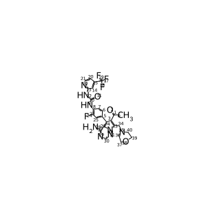 CC(=O)c1c(-c2ccc(NC(=O)Nc3cc(C(F)(F)F)ccn3)c(F)c2)c2c(N)ncnn2c1CN1CCOCC1